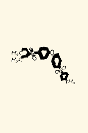 C=C/C=C(\C=C/C)S(=O)(=O)c1ccc(Oc2ccc(S(=O)(=O)c3ccc(C)cc3)cc2)cc1